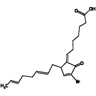 C/C=C/CC/C=C/CC1C=C(Br)C(=O)/C1=C\CCCCCC(=O)O